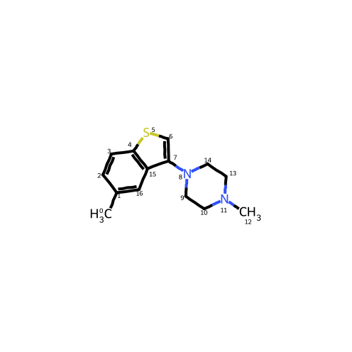 Cc1ccc2scc(N3CCN(C)CC3)c2c1